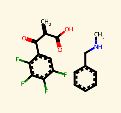 C=C(C(=O)O)C(=O)c1cc(F)c(F)c(F)c1F.CNCc1ccccc1